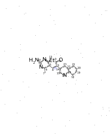 CCC(=O)/C(=C\c1c(C)nc(N)nc1C)c1cnc2ccccc2c1